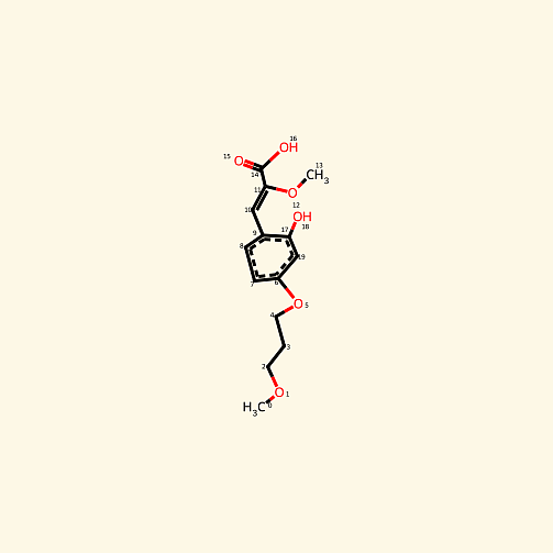 COCCCOc1ccc(C=C(OC)C(=O)O)c(O)c1